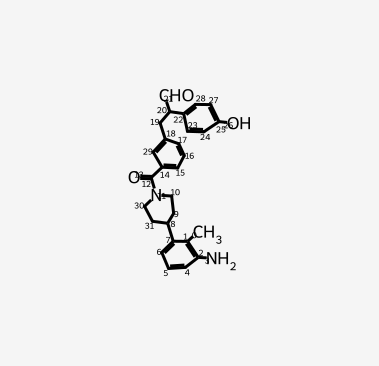 Cc1c(N)cccc1C1CCN(C(=O)c2cccc(CC(C=O)c3ccc(O)cc3)c2)CC1